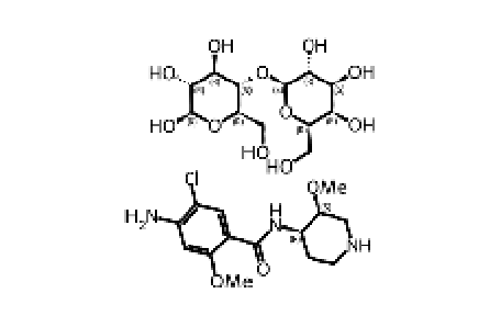 COc1cc(N)c(Cl)cc1C(=O)N[C@@H]1CCNC[C@@H]1OC.OC[C@H]1O[C@@H](O[C@H]2[C@H](O)[C@@H](O)[C@H](O)O[C@@H]2CO)[C@H](O)[C@@H](O)[C@H]1O